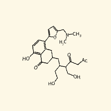 CC(=O)CC(=O)C(CO)C(CCO)CC1CC(=O)c2c(O)ccc(-c3ccc(CN(C)C)o3)c2C1